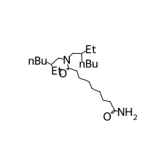 CCCCC(CC)CN(CC(CC)CCCC)C(=O)CCCCCCCC(N)=O